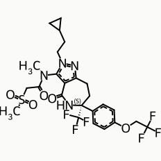 CN(C(=O)CS(C)(=O)=O)c1c2c(nn1CCC1CC1)CC[C@](c1ccc(OCC(F)(F)F)cc1)(C(F)(F)F)NC2=O